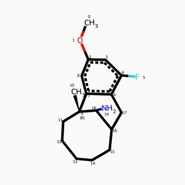 COc1cc(F)c2c(c1)[C@@]1(C)CCCCCC(C2)C1N